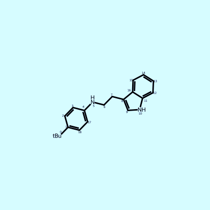 CC(C)(C)c1ccc(NCCc2c[nH]c3ccccc23)cc1